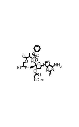 C#CC1(CO[P@@](=O)(NC(C)C(=O)OCC(CC)CC)Oc2ccccc2)OC(n2cnc3c(N)nc(F)nc32)CC1OC(=O)CCCCCCCCCCC